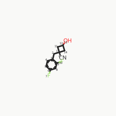 N#CC1(Cc2ccc(F)cc2F)CC(O)C1